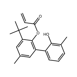 C=CC(=O)Oc1c(-c2cccc(C)c2O)cc(C)cc1C(C)(C)C